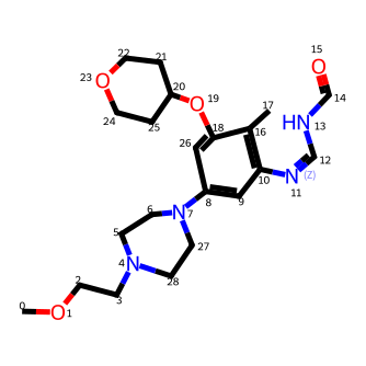 COCCN1CCN(c2cc(/N=C\NC=O)c(C)c(OC3CCOCC3)c2)CC1